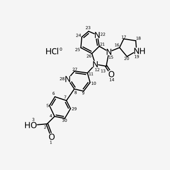 Cl.O=C(O)c1ccc(-c2ccc(-n3c(=O)n(C4CCNC4)c4ncccc43)cn2)cc1